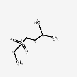 CCS(=O)(=O)CCC(C)O